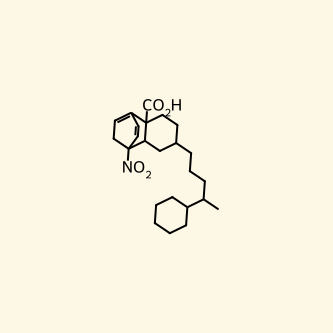 CC(CCCC1CCC2(C(=O)O)C3=CCC([N+](=O)[O-])(C=C3)C2C1)C1CCCCC1